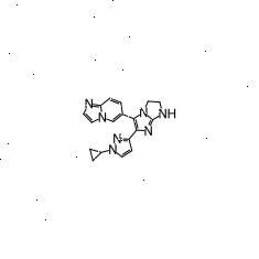 c1cn2cc(-c3c(-c4ccn(C5CC5)n4)nc4n3CCN4)ccc2n1